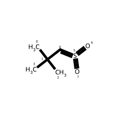 CC(C)(C)[C]=S(=O)=O